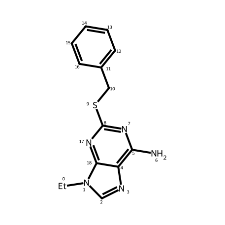 CCn1cnc2c(N)nc(SCc3ccccc3)nc21